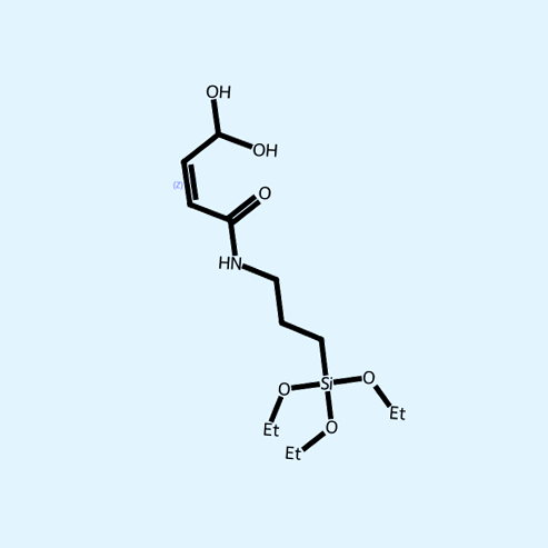 CCO[Si](CCCNC(=O)/C=C\C(O)O)(OCC)OCC